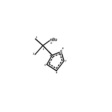 CCCCC(C)(C)c1cccs1